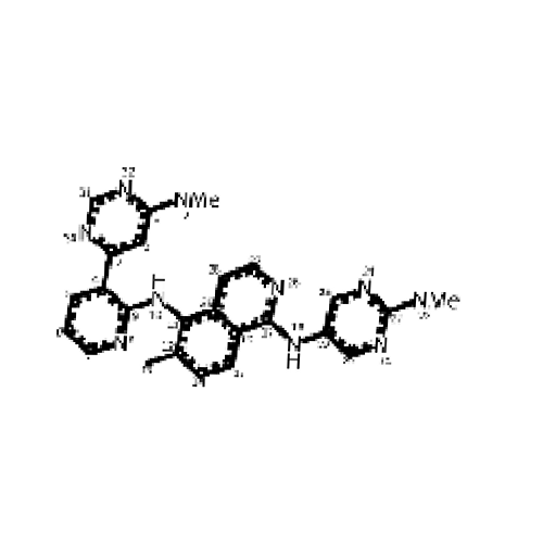 CNc1cc(-c2cccnc2Nc2c(C)ccc3c(Nc4cnc(NC)nc4)nccc23)ncn1